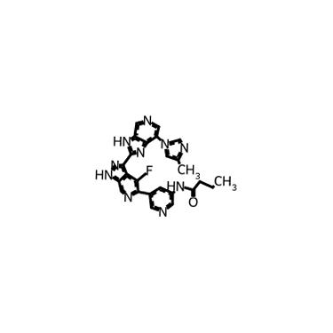 CCCC(=O)Nc1cncc(-c2ncc3[nH]nc(-c4nc5c(-n6cnc(C)c6)cncc5[nH]4)c3c2F)c1